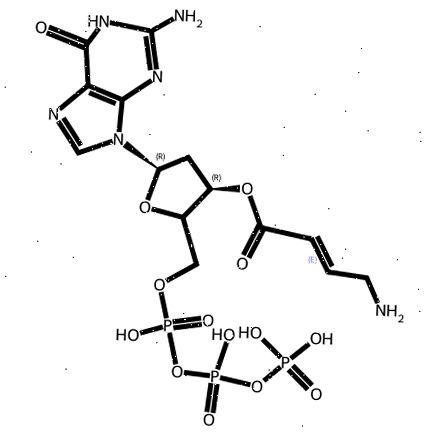 NC/C=C/C(=O)O[C@@H]1C[C@H](n2cnc3c(=O)[nH]c(N)nc32)OC1COP(=O)(O)OP(=O)(O)OP(=O)(O)O